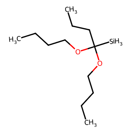 CCCCOC([SiH3])(CCC)OCCCC